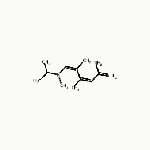 C=C(N)/C=C(C)\C(C)=C/N(C)C(C)C